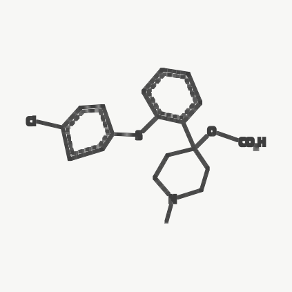 CN1CCC(OC(=O)O)(c2ccccc2Sc2ccc(Cl)cc2)CC1